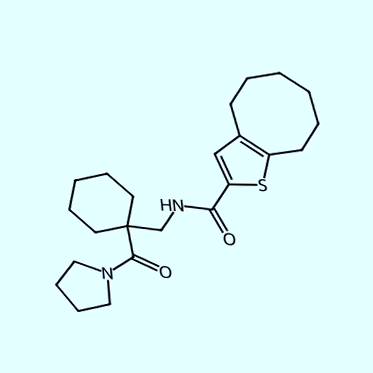 O=C(NCC1(C(=O)N2CCCC2)CCCCC1)c1cc2c(s1)CCCCCC2